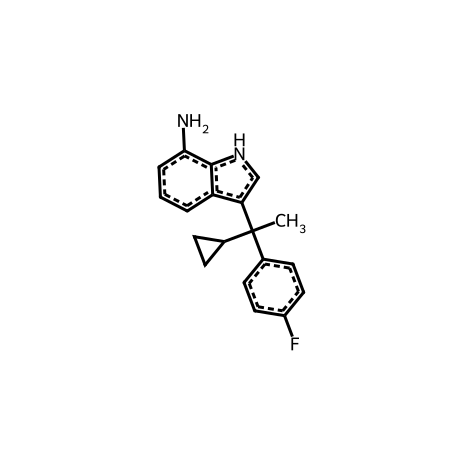 CC(c1ccc(F)cc1)(c1c[nH]c2c(N)cccc12)C1CC1